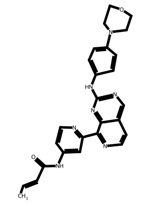 C/C=C/C(=O)Nc1ccnc(-c2nccc3cnc(Nc4ccc(N5CCOCC5)cc4)nc23)c1